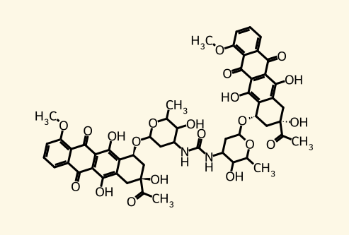 COc1cccc2c1C(=O)c1c(O)c3c(c(O)c1C2=O)C[C@@](O)(C(C)=O)C[C@@H]3OC1CC(NC(=O)NC2CC(O[C@H]3C[C@](O)(C(C)=O)Cc4c(O)c5c(c(O)c43)C(=O)c3c(OC)cccc3C5=O)OC(C)C2O)C(O)C(C)O1